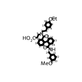 CCOc1ccc(CCN(CCC(=O)O)C(=O)c2ccccc2-c2ccccc2C(=O)NCc2cccc(OC)c2)cc1